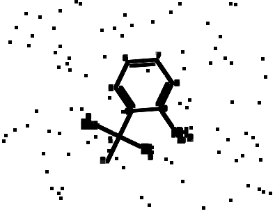 CCC(C)C(C)(CC)c1ccccc1N